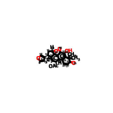 CC(=O)O[C@@H]1C[C@@]2(C)[C@H](c3ccoc3)C[C@H]3O[C@]32[C@]2(C)C(=O)C(O)=C3C(C)(C)C(=O)C=C[C@]3(C)[C@@H]12